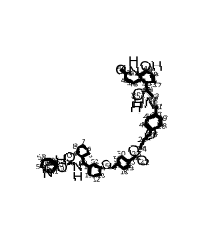 O=C(N[C@@H](c1ccccc1)c1cccc(OCc2ccc(C(=O)OCCOc3ccc(CNC[C@H](O)c4ccc(O)c5[nH]c(=O)ccc45)cc3)cc2)c1)O[C@H]1CN2CCC1CC2